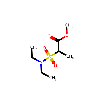 CCN(CC)S(=O)(=O)C(C)C(=O)OC